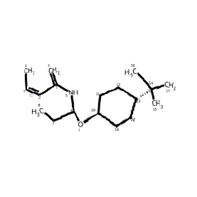 C=C(/C=C\C)NC(CC)O[C@H]1CC[C@H](C(C)(C)C)CC1